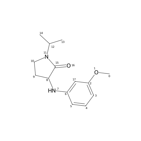 COc1cccc(NC2CCN(C(C)C)C2=O)c1